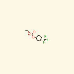 CCOC(=O)Oc1ccc(C(F)(F)F)cc1